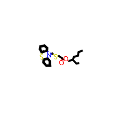 CCCCC(CC)COC(=O)CSCN1c2ccccc2Sc2ccccc21